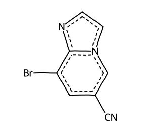 N#Cc1cc(Br)c2nccn2c1